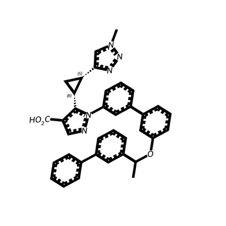 CC(Oc1cccc(-c2cccc(-n3ncc(C(=O)O)c3[C@@H]3C[C@@H]3c3cn(C)nn3)c2)c1)c1cccc(-c2ccccc2)c1